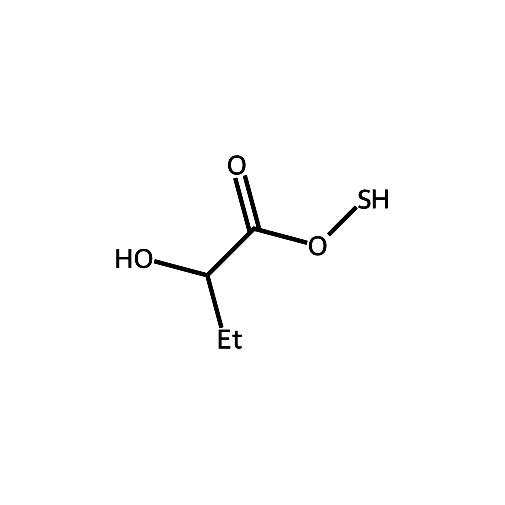 CCC(O)C(=O)OS